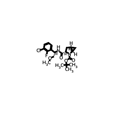 COC[C@@H](NC(=O)[C@@H]1C[C@H]2C[C@H]2N1C(=O)OC(C)(C)C)c1cccc(Cl)c1F